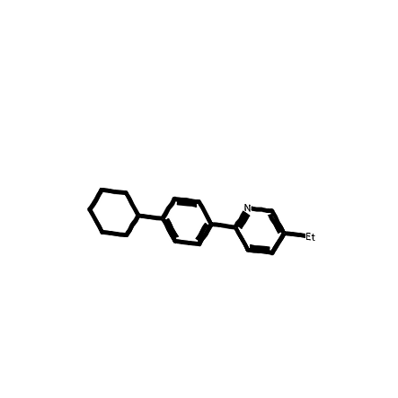 CCc1ccc(-c2ccc(C3CCCCC3)cc2)nc1